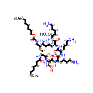 CCCCCCCCCCCCCCCCOC(=O)NCCSC[C@@H](NC(=O)CCCCCCCCCCCCCCC)C(=O)N[C@H](CO)C(=O)N[C@@H](CCCCN)C(=O)N[C@@H](CCCCN)C(=O)N[C@@H](CCCCN)C(=O)N[C@@H](CCCCN)C(=O)O